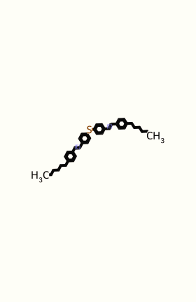 CCCCCCc1ccc(/C=C/c2ccc(Sc3ccc(/C=C/c4ccc(CCCCCC)cc4)cc3)cc2)cc1